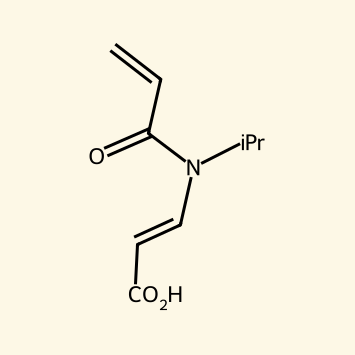 C=CC(=O)N(C=CC(=O)O)C(C)C